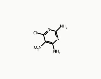 Nc1nc(N)c([N+](=O)[O-])c(Cl)n1